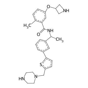 Cc1ccc(OC2CNC2)cc1C(=O)NC(C)c1cccc(-c2ccc(CN3CCNCC3)s2)c1